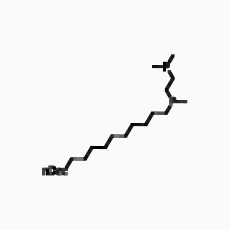 CCCCCCCCCCCCCCCCCCCCP(C)CCP(C)C